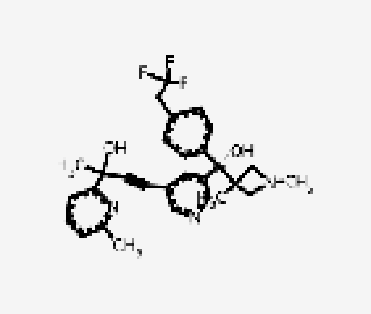 Cc1cccc(C(C)(O)C#Cc2cncc([C@@](O)(c3ccc(CC(F)(F)F)cc3)C3(C)CN(C)C3)c2)n1